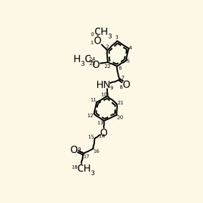 COc1cccc(C(=O)Nc2ccc(OCCC(C)=O)cc2)c1OC